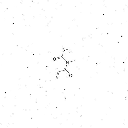 C=CC(=O)N(C)C(N)=O